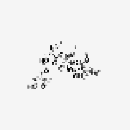 CON=C(CO)C(=O)[O-].CON=C(CO)C(=O)[O-].CON=C(CO)C(=O)[O-].CON=C(CO)C(=O)[O-].[Hf+4]